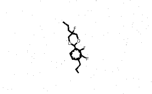 CCCc1ccc(C2OCC(F)(CCC)CO2)c(F)c1F